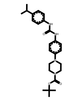 CC(C)c1ccc(NC(=O)Nc2ccc(N3CCN(C(=O)OC(C)(C)C)CC3)cc2)cc1